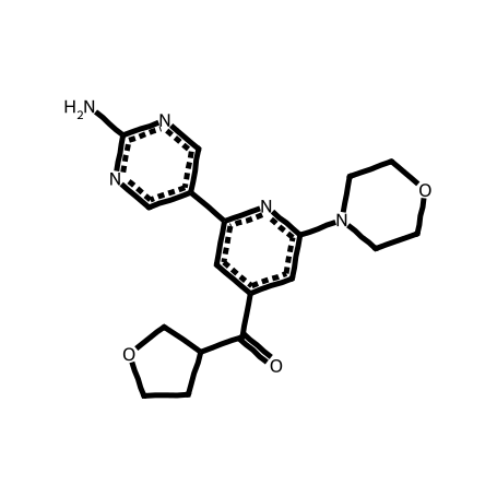 Nc1ncc(-c2cc(C(=O)C3CCOC3)cc(N3CCOCC3)n2)cn1